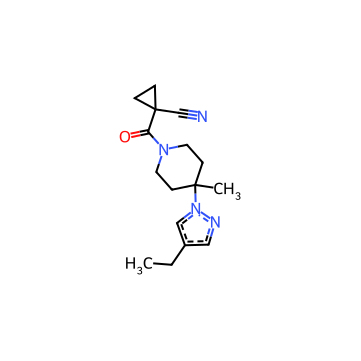 CCc1cnn(C2(C)CCN(C(=O)C3(C#N)CC3)CC2)c1